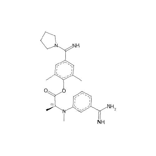 Cc1cc(C(=N)N2CCCC2)cc(C)c1OC(=O)[C@H](C)N(C)c1cccc(C(=N)N)c1